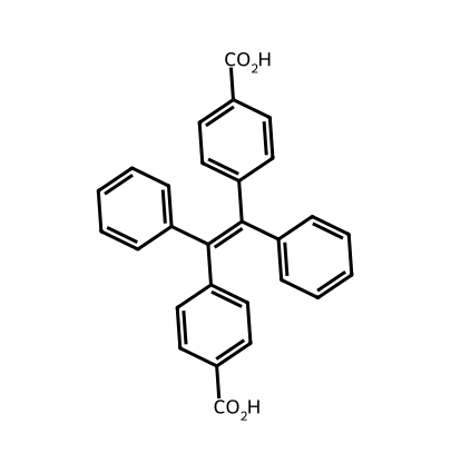 O=C(O)c1ccc(/C(=C(\c2ccccc2)c2ccc(C(=O)O)cc2)c2ccccc2)cc1